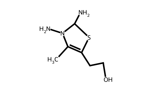 CC1=C(CCO)SC(N)N1N